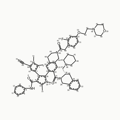 Cc1c(-c2c(C(=O)Nc3ccccc3)c(C)n(C)c2-c2cc3c(cc2C(=O)N2Cc4ccccc4C[C@H]2CN2CCCCC2)CN(C(=O)Cc2ccc(OCCN4CCOCC4)cc2F)CC3)cc(C#N)n1C